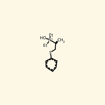 C=C(CSc1ccccc1)[N+](O)(CC)CC